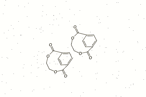 O=C1OCCOC(=O)c2ccc1cc2.O=C1OCCOC(=O)c2ccc1cc2